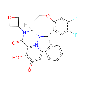 O=C1c2c(O)c(=O)ccn2N2[C@@H](c3ccccc3)c3cc(F)c(F)cc3OCC[C@@H]2N1C1COC1